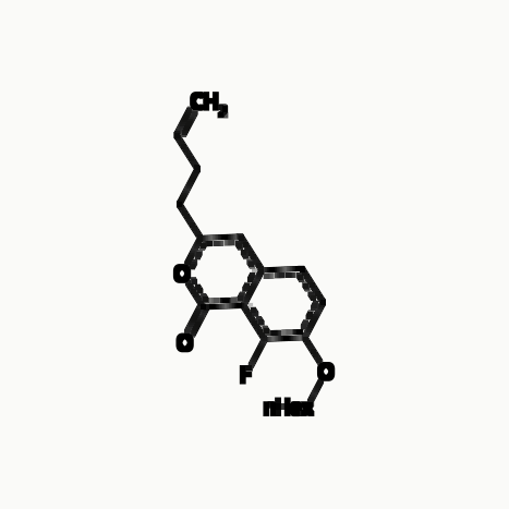 C=CCCc1cc2ccc(OCCCCCC)c(F)c2c(=O)o1